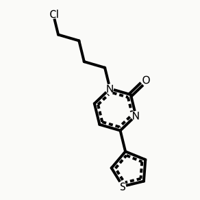 O=c1nc(-c2ccsc2)ccn1CCCCCl